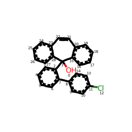 OC1(c2ccccc2-c2ccc(Cl)cc2)c2ccccc2C=Cc2ccccc21